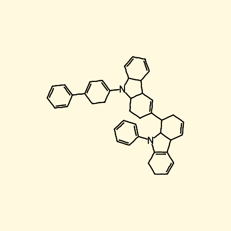 C1=CC2C3C=C(C4CC=CC5C6=C(CCC=C6)N(c6ccccc6)C54)CCC3N(C3=CC=C(c4ccccc4)CC3)C2C=C1